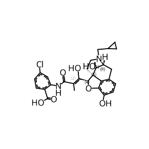 C/C(C(=O)Nc1cc(Cl)ccc1C(=O)O)=C(/O)[C@@H]1Oc2c(O)ccc3c2[C@@]12CCN(CC1CC1)[C@H](C3)[C@@]2(C)O